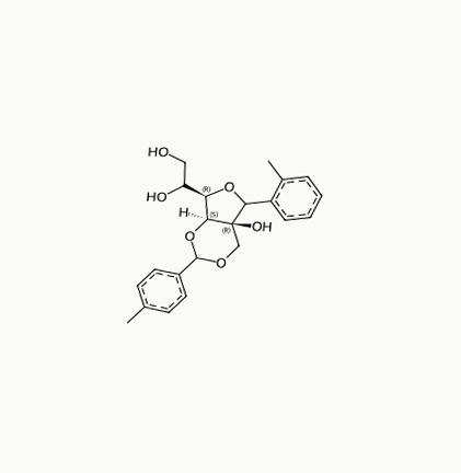 Cc1ccc(C2OC[C@@]3(O)C(c4ccccc4C)O[C@H](C(O)CO)[C@@H]3O2)cc1